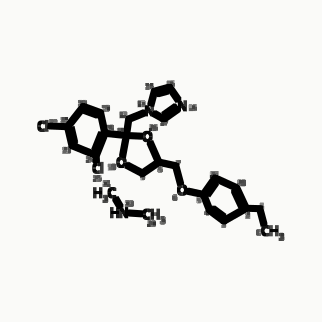 CCc1ccc(OCC2COC(Cn3ccnc3)(c3ccc(Cl)cc3Cl)O2)cc1.CNC